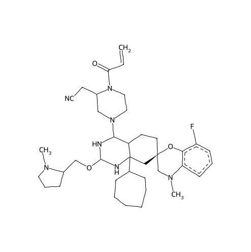 C=CC(=O)N1CCN(C2NC(OCC3CCCN3C)NC3(C4CCCCCC4)C[C@]4(CCC23)CN(C)c2cccc(F)c2O4)CC1CC#N